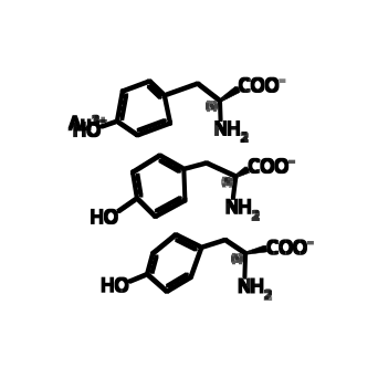 N[C@@H](Cc1ccc(O)cc1)C(=O)[O-].N[C@@H](Cc1ccc(O)cc1)C(=O)[O-].N[C@@H](Cc1ccc(O)cc1)C(=O)[O-].[Au+3]